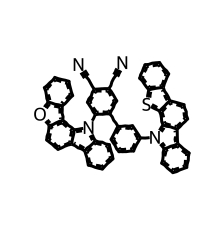 N#Cc1cc(-c2cccc(-n3c4ccccc4c4ccc5c6ccccc6sc5c43)c2)c(-n2c3ccccc3c3ccc4oc5ccccc5c4c32)cc1C#N